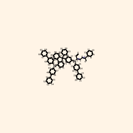 C=C/C(=C\C=C(/C)c1ccccc1)N(c1ccc(-c2ccccc2)cc1)c1ccc(C2(c3ccccc3)c3ccccc3-c3c(N(c4ccc(-c5ccccc5)cc4)c4ccc(-c5ccccc5)cc4)cccc32)cc1